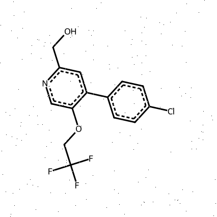 OCc1cc(-c2ccc(Cl)cc2)c(OCC(F)(F)F)cn1